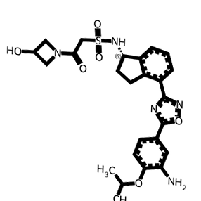 CC(C)Oc1ccc(-c2nc(-c3cccc4c3CC[C@@H]4NS(=O)(=O)CC(=O)N3CC(O)C3)no2)cc1N